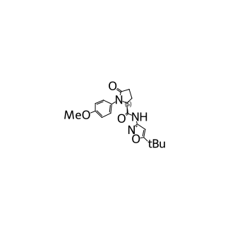 COc1ccc(N2C(=O)CC[C@H]2C(=O)Nc2cc(C(C)(C)C)on2)cc1